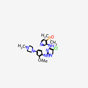 COc1cc(N2CCN(C)CC2)ccc1Nc1ncc(Cl)c(Nc2cnccc2P(C)(C)=O)n1